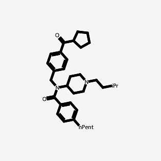 CCCCCc1ccc(C(=O)N(Cc2ccc(C(=O)C3CCCC3)cc2)C2CCN(CCC(C)C)CC2)cc1